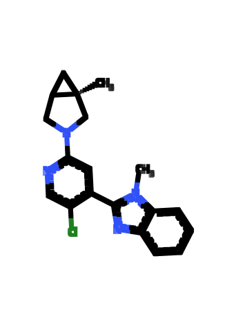 Cn1c(-c2cc(N3CC4C[C@@]4(C)C3)ncc2Cl)nc2ccccc21